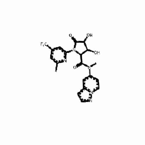 Cc1cc(C(F)(F)F)cc(N2C(=O)C(O)C(O)C2C(=O)N(C)c2ccn3nccc3c2)n1